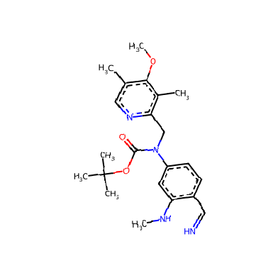 CNc1cc(N(Cc2ncc(C)c(OC)c2C)C(=O)OC(C)(C)C)ccc1C=N